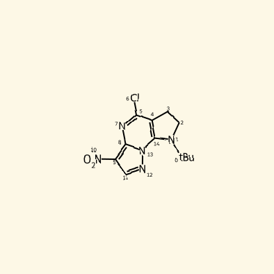 CC(C)(C)N1CCc2c(Cl)nc3c([N+](=O)[O-])cnn3c21